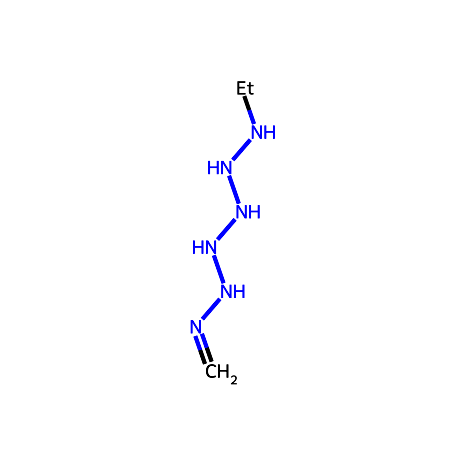 C=NNNNNNCC